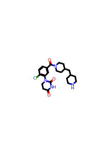 O=C1CCN(c2cc(C(=O)N3CCC(CC4CCNCC4)CC3)ccc2Cl)C(=O)N1